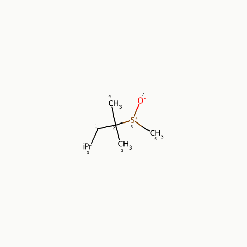 CC(C)CC(C)(C)[S+](C)[O-]